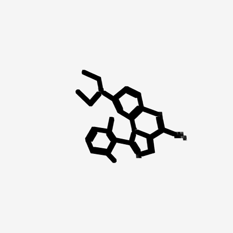 CCN(CC)c1ccc2nc(N)c3cnc(-c4c(C)cccc4C)n3c2c1